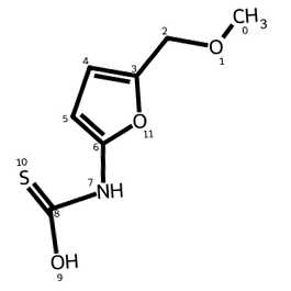 COCc1ccc(NC(O)=S)o1